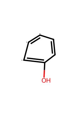 Oc1[c][c][c]cc1